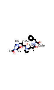 CCC(=O)N[C@H](C(=O)N(C)[C@@H]([C@@H](C)CC)[C@@H](CC(=O)N1CCC[C@H]1[C@H](OC)[C@@H](C)C(=O)N[C@@H](Cc1ccccc1)C(=O)OC)OC)C(C)C